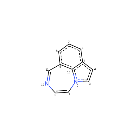 C1=Cn2ccc3cccc(c32)C=N1